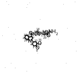 COc1ccc(-c2cc(C(=O)NCC(C)OCCC(C)(C)C(=O)NN)c3ccccc3n2)cc1OC